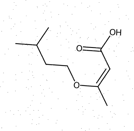 CC(=CC(=O)O)OCCC(C)C